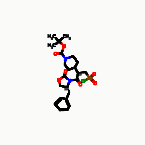 CC(C)(C)OC(=O)N1CCC([C@@H](CS(=O)(=O)Cl)C(=O)N2C(=O)OC[C@H]2Cc2ccccc2)CC1